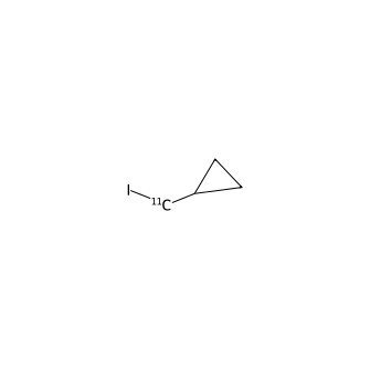 I[11CH2]C1CC1